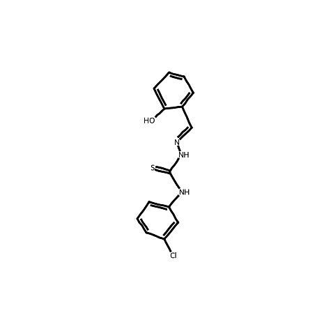 Oc1ccccc1/C=N/NC(=S)Nc1cccc(Cl)c1